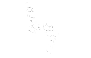 CN1CCN(Cc2cc(Cl)c(-c3nnc4ccc(O[C@@H]5CC[C@H](NC(=O)Nc6cc(C(C)(C)C)nn6C)c6ccccc65)cn34)c(Cl)c2)CC1